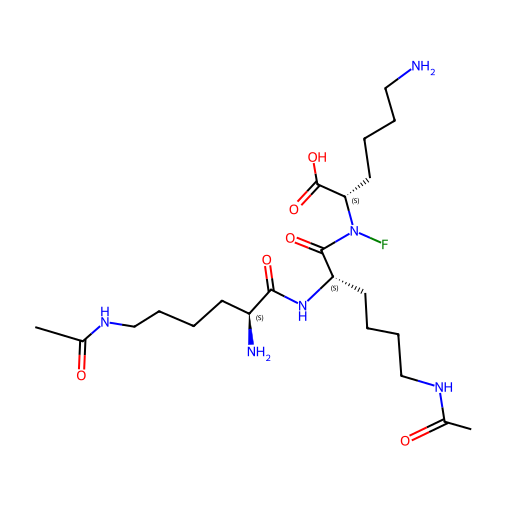 CC(=O)NCCCC[C@H](NC(=O)[C@@H](N)CCCCNC(C)=O)C(=O)N(F)[C@@H](CCCCN)C(=O)O